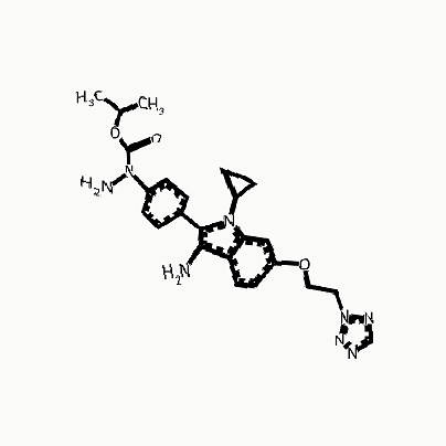 CC(C)OC(=O)N(N)c1ccc(-c2c(N)c3ccc(OCCn4ncnn4)cc3n2C2CC2)cc1